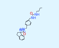 CCCCNC(=O)NCc1ccc(CNC(=O)C2(N)CCc3ccccc32)cc1